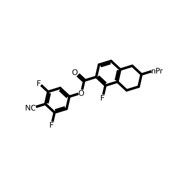 CCCC1CCc2c(ccc(C(=O)Oc3cc(F)c(C#N)c(F)c3)c2F)C1